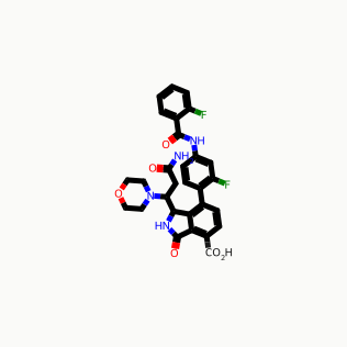 NC(=O)CC(C1NC(=O)c2c(C(=O)O)ccc(-c3ccc(NC(=O)c4ccccc4F)cc3F)c21)N1CCOCC1